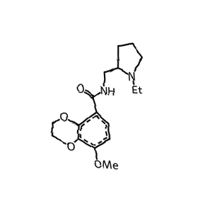 CCN1CCCC1CNC(=O)c1ccc(OC)c2c1OCCO2